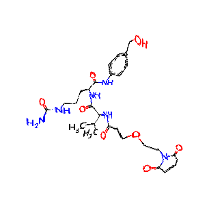 CC(C)[C@H](NC(=O)CCOCCN1C(=O)C=CC1=O)C(=O)N[C@@H](CCCNC(N)=O)C(=O)Nc1ccc(CO)cc1